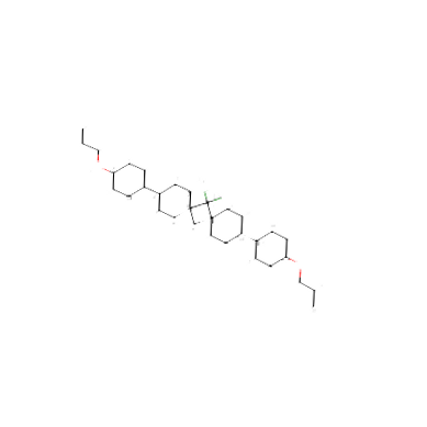 CCCOC1CCC(C2CC[C@]3(CC2)C[C@@]2(CC[C@H](C4CCC(OCCC)CC4)CC2)C3(Cl)Cl)CC1